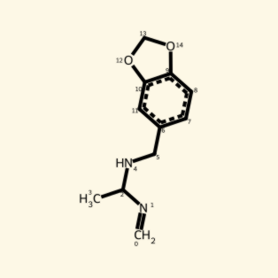 C=NC(C)NCc1ccc2c(c1)OCO2